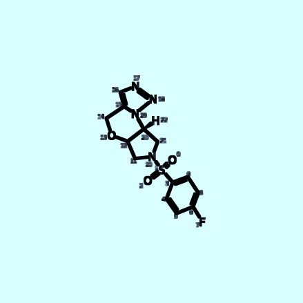 O=S(=O)(c1ccc(F)cc1)N1CC2OCc3cnnn3[C@@H]2C1